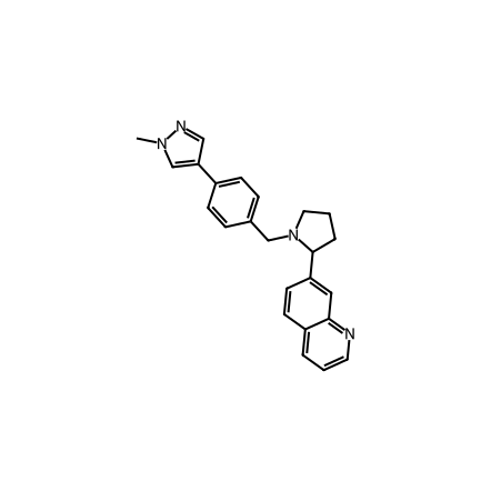 Cn1cc(-c2ccc(CN3CCCC3c3ccc4cccnc4c3)cc2)cn1